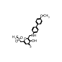 COc1ccc(-c2ccc(NCc3oc(CS(C)(=O)=O)cc(=S)c3O)cc2)cc1